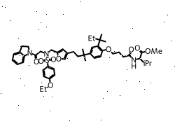 CCOc1ccc(S(=O)(=O)N(CC(=O)N2CCc3ccccc32)Cc2cc(CCC(C)(C)c3ccc(OCCCC(=O)NC(C(=O)OC)C(C)C)c(C(C)(C)CC)c3)co2)cc1